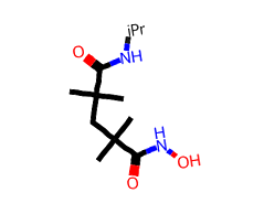 CC(C)NC(=O)C(C)(C)CC(C)(C)C(=O)NO